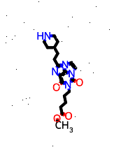 COC(=O)CCCCn1c(=O)c2nc(CCC3CCNCC3)n3ccn(c1=O)c23